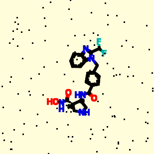 O=C(N[C@@H]1CNC[C@@H]1C(=O)NO)c1ccc(Cn2c(C(F)F)nc3ccccc32)cc1